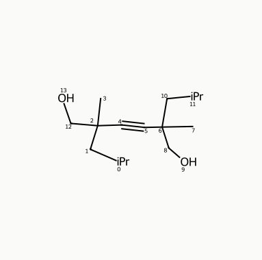 CC(C)CC(C)(C#CC(C)(CO)CC(C)C)CO